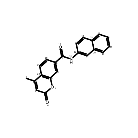 Cc1cc(=O)oc2cc(C(=O)Nc3ccc4ccccc4c3)ccc12